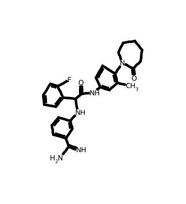 Cc1cc(NC(=O)C(Nc2cccc(C(=N)N)c2)c2ccccc2F)ccc1N1CCCCCC1=O